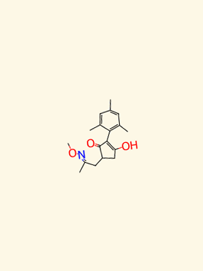 CON=C(C)CC1CC(O)=C(c2c(C)cc(C)cc2C)C1=O